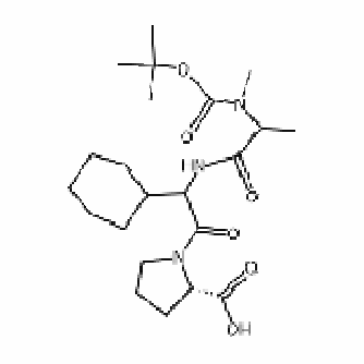 CC(C(=O)NC(C(=O)N1CCC[C@H]1C(=O)O)C1CCCCC1)N(C)C(=O)OC(C)(C)C